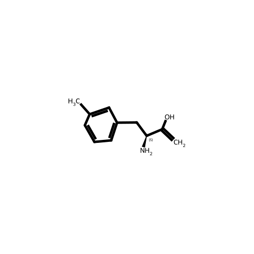 C=C(O)[C@@H](N)Cc1cccc(C)c1